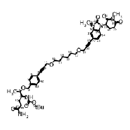 C[C@@H](OCc1ccc(C#CCOCCCCCCOCC#Cc2ccc3c(c2)n(C)c(=O)n3C2CCC(=O)N(C)C2=O)cc1)[C@H](CCC(N)=O)NC(=O)OC(C)(C)C